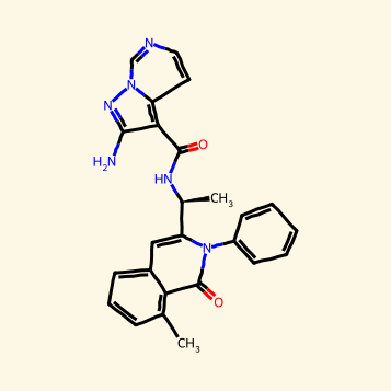 Cc1cccc2cc([C@H](C)NC(=O)c3c(N)nn4cnccc34)n(-c3ccccc3)c(=O)c12